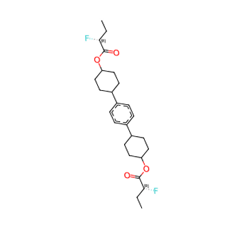 CC[C@@H](F)C(=O)OC1CCC(c2ccc(C3CCC(OC(=O)[C@H](F)CC)CC3)cc2)CC1